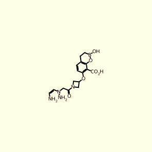 N/C=C\N(N)CC(=O)N1CC(Oc2ccc3c(c2C(=O)O)OB(O)CC3)C1